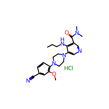 CCCNc1c(C(=O)N(C)C)cncc1N1CCN(c2ccc(C#N)cc2OC)CC1.Cl